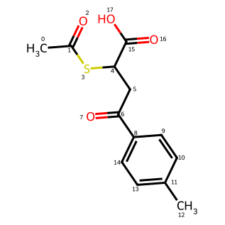 CC(=O)SC(CC(=O)c1ccc(C)cc1)C(=O)O